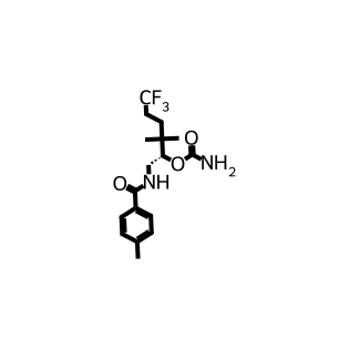 Cc1ccc(C(=O)NC[C@@H](OC(N)=O)C(C)(C)CCC(F)(F)F)cc1